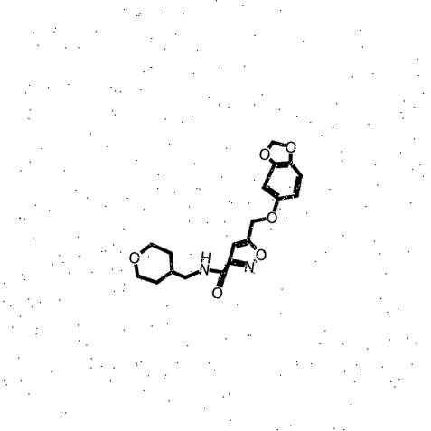 O=C(NCC1CCOCC1)c1cc(COc2ccc3c(c2)OCO3)on1